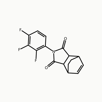 O=C1C2C3C=CC(CC3)C2C(=O)N1c1ccc(F)c(F)c1F